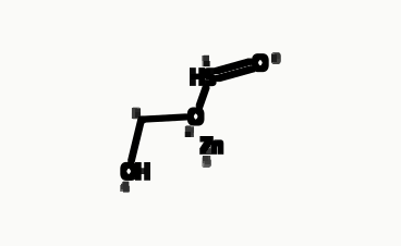 O=[SH]OCO.[Zn]